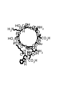 CCC(C)C1NC(=O)C(C(C)CC(=O)O)NC(=O)C(CC(N)=O)NC(=O)CNC(=O)C(C(O)C(=O)O)NC(=O)C(CCCCN)NC(=O)C(CC(=O)O)NC(=O)C(C)NC(=O)CN(C)C(=O)C(NC(=O)C(NC(=O)C(CCC(=O)O)NC(=O)C(Cc2c[nH]c3ccccc23)NC(=O)CCCCCCC(C)C)C(O)C(N)=O)C(C)OC1=O